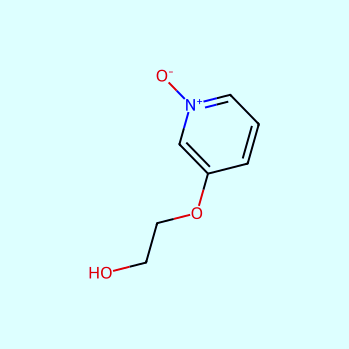 [O-][n+]1cccc(OCCO)c1